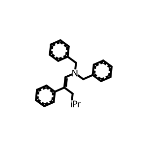 CC(C)C/C(=C\N(Cc1ccccc1)Cc1ccccc1)c1ccccc1